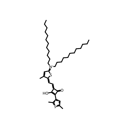 CCCCCCCCCCCC[N+](CCCCCCCCCCCC)=C1C=C(C)/C(=C/C=C2/C(=O)C(c3cc(C)sc3C)=C2O)S1